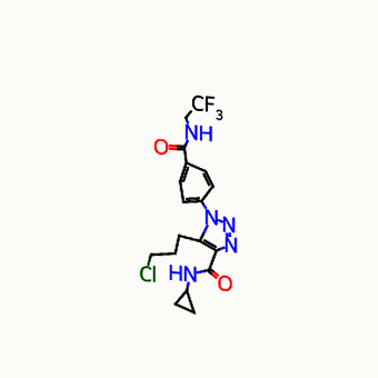 O=C(NCC(F)(F)F)c1ccc(-n2nnc(C(=O)NC3CC3)c2CCCCl)cc1